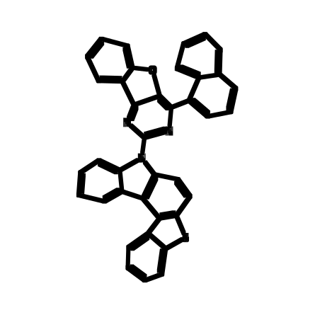 c1ccc2c(-c3nc(-n4c5ccccc5c5c6c(ccc54)sc4ccccc46)nc4c3oc3ccccc34)cccc2c1